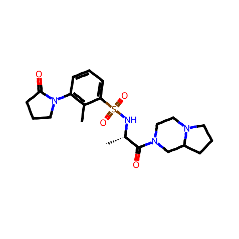 [CH2][C@H](NS(=O)(=O)c1cccc(N2CCCC2=O)c1C)C(=O)N1CCN2CCCC2C1